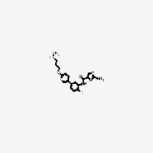 CNCCCOc1ccc(-c2ccc(Cl)c(NC(=O)c3coc(N)n3)c2)cn1